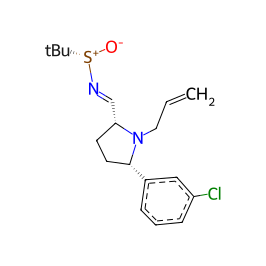 C=CCN1[C@@H](C=N[S@@+]([O-])C(C)(C)C)CC[C@H]1c1cccc(Cl)c1